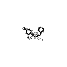 CC(C)(Cc1ccncc1)CC(C)(C)c1ccc(Cl)cc1